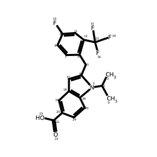 CC(C)n1c(Cc2ccc(F)cc2C(F)(F)F)cc2cc(C(=O)O)ccc21